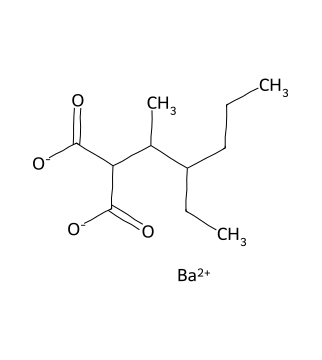 CCCC(CC)C(C)C(C(=O)[O-])C(=O)[O-].[Ba+2]